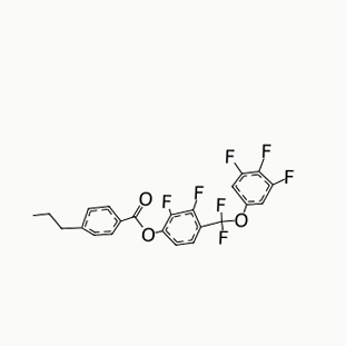 CCCc1ccc(C(=O)Oc2ccc(C(F)(F)Oc3cc(F)c(F)c(F)c3)c(F)c2F)cc1